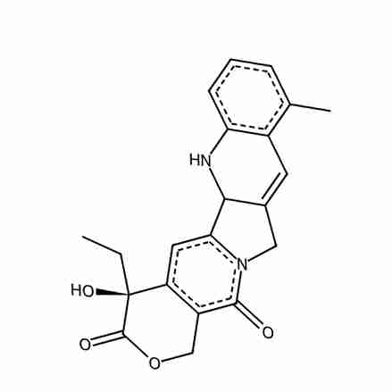 CC[C@@]1(O)C(=O)OCc2c1cc1n(c2=O)CC2=Cc3c(C)cccc3NC21